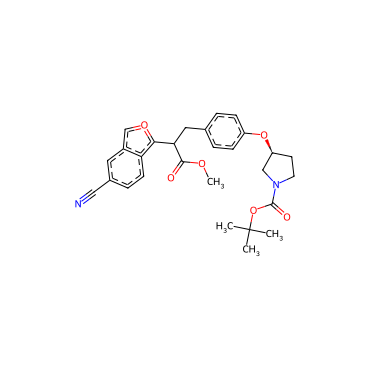 COC(=O)C(Cc1ccc(O[C@H]2CCN(C(=O)OC(C)(C)C)C2)cc1)c1occ2cc(C#N)ccc12